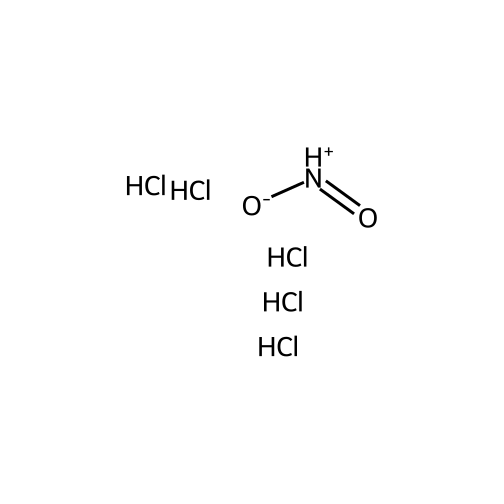 Cl.Cl.Cl.Cl.Cl.O=[NH+][O-]